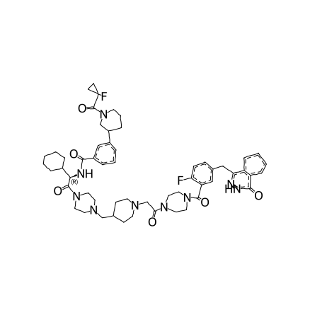 O=C(N[C@@H](C(=O)N1CCN(CC2CCN(CC(=O)N3CCN(C(=O)c4cc(Cc5n[nH]c(=O)c6ccccc56)ccc4F)CC3)CC2)CC1)C1CCCCC1)c1cccc(C2CCCN(C(=O)C3(F)CC3)C2)c1